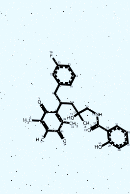 CC1=C(C)C(=O)C(C(Cc2cccc(F)c2)CC(C)(O)CNC(=O)c2ccccc2O)=C(C)C1=O